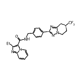 CCc1nc2ccccn2c1C(=O)NCc1ccc(-c2nc3n(n2)CCC(C(F)(F)F)C3)cc1